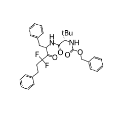 CC(C)(C)[C@H](NC(=O)OCc1ccccc1)C(=O)NC(Cc1ccccc1)C(=O)C(F)(F)CCc1ccccc1